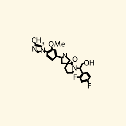 COc1cc(C2=NCC3(CCCN(C(CO)c4ccc(F)cc4F)C3=O)C2)ccc1-n1cnc(C)c1